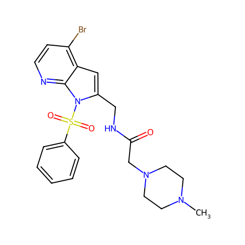 CN1CCN(CC(=O)NCc2cc3c(Br)ccnc3n2S(=O)(=O)c2ccccc2)CC1